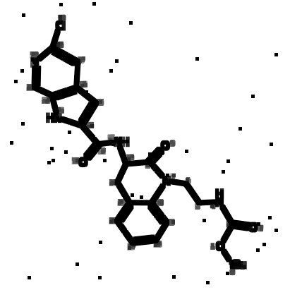 CC(C)(C)OC(=O)NCCN1C(=O)C(NC(=O)c2cc3cc(Cl)ncc3[nH]2)Cc2ccccc21